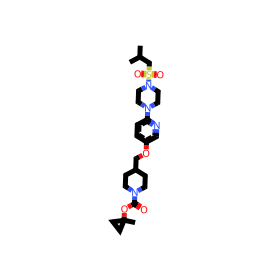 CC(C)CS(=O)(=O)N1CCN(c2ccc(OCC3CCN(C(=O)OC4(C)CC4)CC3)cn2)CC1